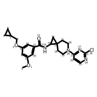 COc1cc(OCC2CC2)cc(C(=O)NC2CC23CCN(c2ccnc(Cl)n2)CC3)c1